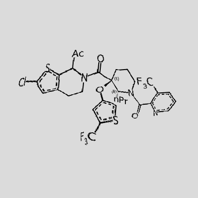 CCC[C@H]1N(C(=O)c2ncccc2C(F)(F)F)CCC[C@@]1(Oc1csc(C(F)(F)F)c1)C(=O)N1CCc2cc(Cl)sc2C1C(C)=O